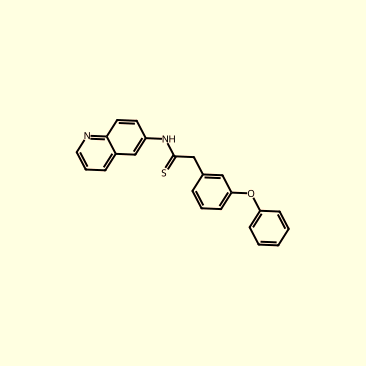 S=C(Cc1cccc(Oc2ccccc2)c1)Nc1ccc2ncccc2c1